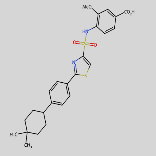 COc1cc(C(=O)O)ccc1NS(=O)(=O)c1csc(-c2ccc(C3CCC(C)(C)CC3)cc2)n1